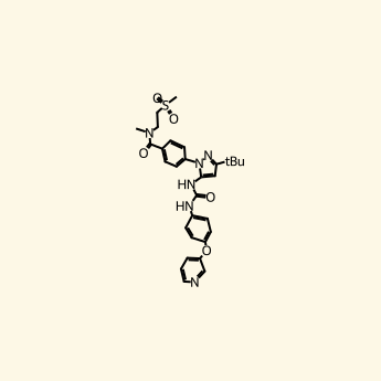 CN(CCS(C)(=O)=O)C(=O)c1ccc(-n2nc(C(C)(C)C)cc2NC(=O)Nc2ccc(Oc3cccnc3)cc2)cc1